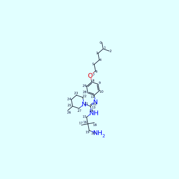 CC(C)CCCCOc1ccc(/N=C(/NCC(C)(C)CN)N2CCCC(C)C2)cc1